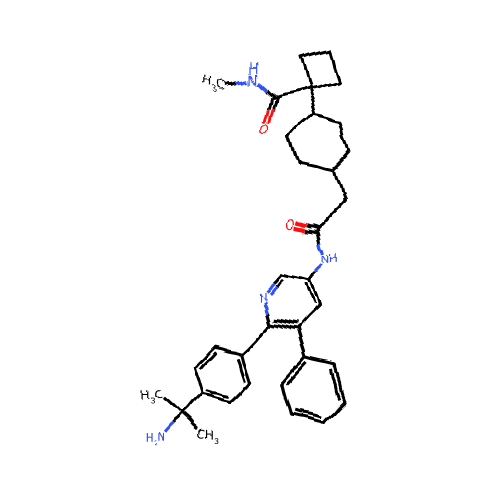 CNC(=O)C1(C2CCC(CC(=O)Nc3cnc(-c4ccc(C(C)(C)N)cc4)c(-c4ccccc4)c3)CC2)CCC1